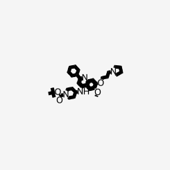 COc1cc2c(NC3CCN(C(=O)OC(C)(C)C)CC3)cc(C3CCCCC3)nc2cc1OCCCN1CCCC1